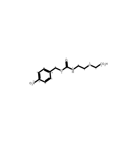 O=C(O)COCCNC(=O)OCc1ccc([N+](=O)[O-])cc1